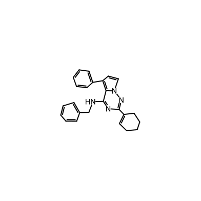 C1=C(c2nc(NCc3ccccc3)c3c(-c4ccccc4)ccn3n2)CCCC1